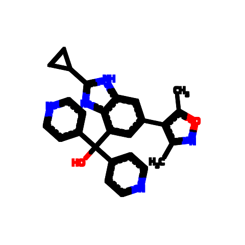 Cc1noc(C)c1-c1cc(C(O)(c2ccncc2)c2ccncc2)c2nc(C3CC3)[nH]c2c1